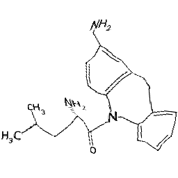 CC(C)C[C@H](N)C(=O)N1c2ccccc2Cc2cc(N)ccc21